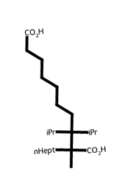 CCCCCCCC(C)(C(=O)O)C(CCCCCCC(=O)O)(C(C)C)C(C)C